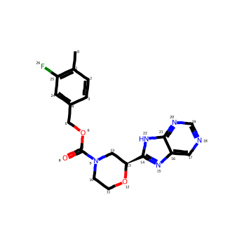 Cc1ccc(COC(=O)N2CCO[C@H](c3nc4cncnc4[nH]3)C2)cc1F